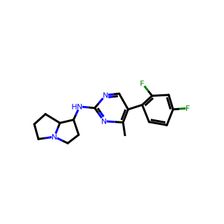 Cc1nc(NC2CCN3CCCC23)ncc1-c1ccc(F)cc1F